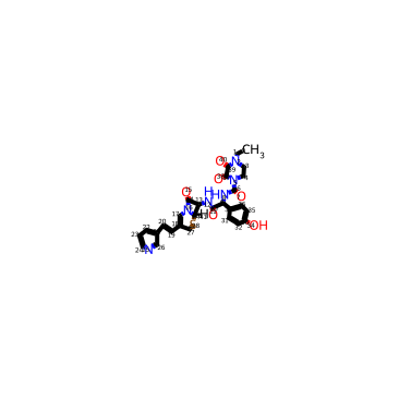 CCN1CCN(C(=O)NC(C(=O)NC2C(=O)N3C=C(C=Cc4cccnc4)CS[C@@H]23)c2ccc(O)cc2)C(=O)C1=O